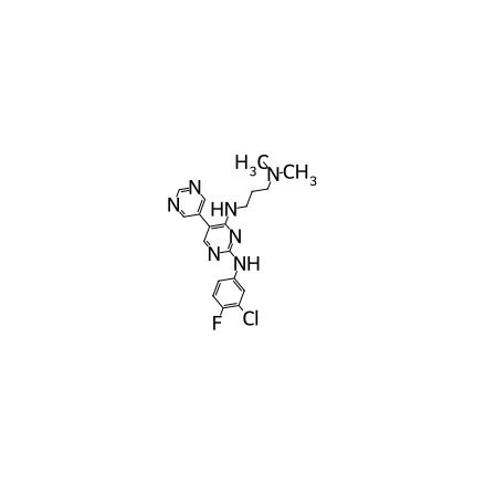 CN(C)CCCNc1nc(Nc2ccc(F)c(Cl)c2)ncc1-c1cncnc1